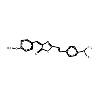 COc1ccc(C=C2N=C(C=Cc3ccc(N(C)C)cc3)OC2=O)cc1